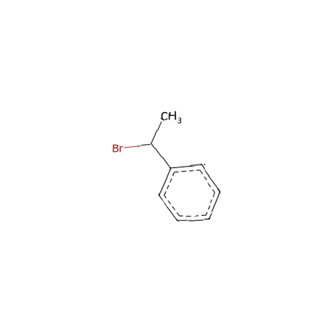 CC(Br)c1[c]cccc1